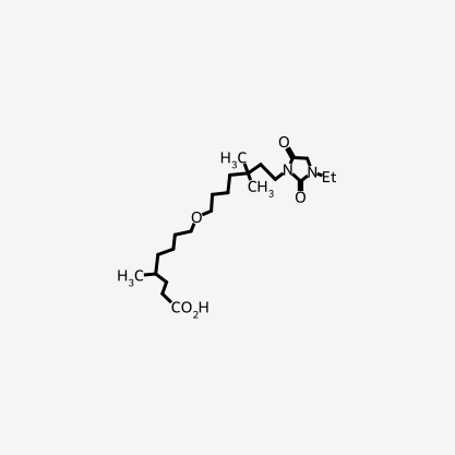 CCN1CC(=O)N(CCC(C)(C)CCCCOCCCCC(C)CCC(=O)O)C1=O